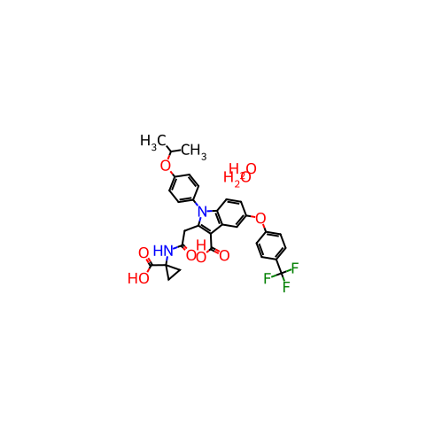 CC(C)Oc1ccc(-n2c(CC(=O)NC3(C(=O)O)CC3)c(C(=O)O)c3cc(Oc4ccc(C(F)(F)F)cc4)ccc32)cc1.O.O